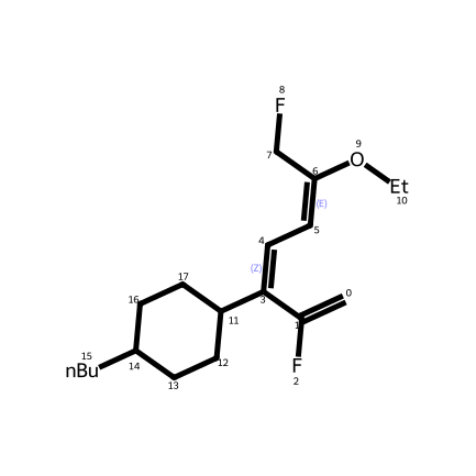 C=C(F)/C(=C\C=C(/CF)OCC)C1CCC(CCCC)CC1